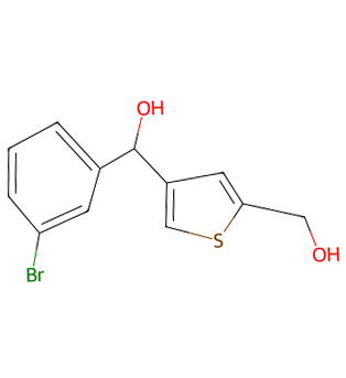 OCc1cc(C(O)c2cccc(Br)c2)cs1